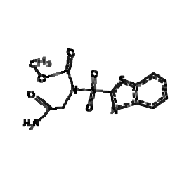 COC(=O)N(CC(N)=O)S(=O)(=O)c1nc2ccccc2s1